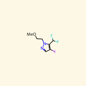 COCCn1ncc(I)c1C(F)F